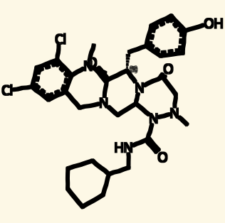 CN(C)c1c(Cl)cc(Cl)cc1CN1CC2N(C(=O)CN(C)N2C(=O)NCC2CCCCC2)[C@@H](Cc2ccc(O)cc2)C1=O